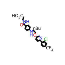 CCCCC(COc1ccc(-c2ccc(C(F)(F)F)cc2Cl)nc1)Nc1ccc(C(=O)NCCC(=O)O)cc1